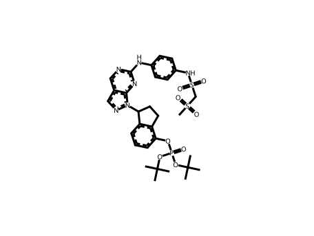 CC(C)(C)OP(=O)(Oc1cccc2c1CCC2n1ncc2cnc(Nc3ccc(NS(=O)(=O)CS(C)(=O)=O)cc3)nc21)OC(C)(C)C